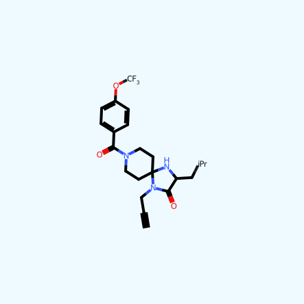 C#CCN1C(=O)C(CC(C)C)NC12CCN(C(=O)c1ccc(OC(F)(F)F)cc1)CC2